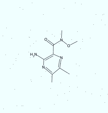 CON(C)C(=O)c1nc(C)c(C)nc1N